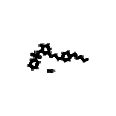 CCO/N=C/c1ccc(CCOc2ccc(C)c(NS(=O)(=O)c3ccccc3)c2)cc1.Cl